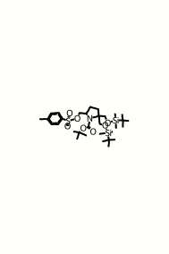 Cc1ccc(S(=O)(=O)OCC2CCC(CO[Si](C)(C)C(C)(C)C)(CO[Si](C)(C)C(C)(C)C)N2C(=O)OC(C)(C)C)cc1